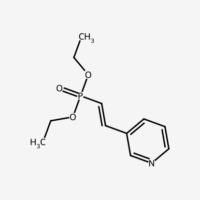 CCOP(=O)(C=Cc1cccnc1)OCC